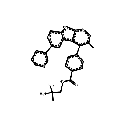 CC(N)(CNC(=O)c1ccc(-c2c(F)cnc3[nH]c4cnc(-c5cccnc5)cc4c23)cc1)C(F)(F)F